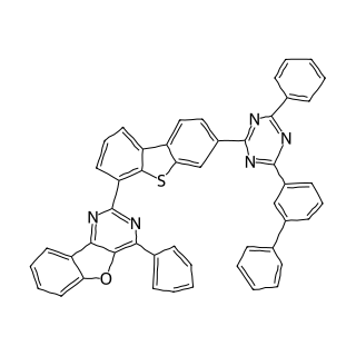 c1ccc(-c2cccc(-c3nc(-c4ccccc4)nc(-c4ccc5c(c4)sc4c(-c6nc(-c7ccccc7)c7oc8ccccc8c7n6)cccc45)n3)c2)cc1